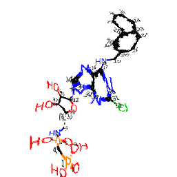 O=P(O)(O)CP(=O)(O)NC[C@H]1O[C@@H](n2cnc3c(NCc4ccc5ccccc5c4)nc(Cl)nc32)C(O)C1O